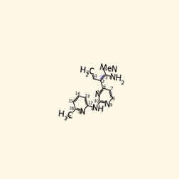 C=C/C(=C(/N)NC)c1ccnc(Nc2cccc(C)n2)n1